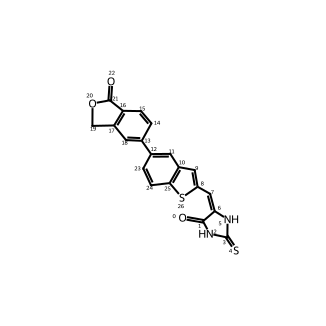 O=C1NC(=S)N/C1=C/c1cc2cc(-c3ccc4c(c3)COC4=O)ccc2s1